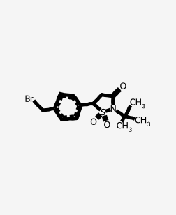 CC(C)(C)N1C(=O)CC(c2ccc(CBr)cc2)S1(=O)=O